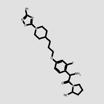 CC(C)c1noc(N2CCC(CCCOc3ccc(C(N)C(=O)N4CCCC4C#N)c(F)c3)CC2)n1